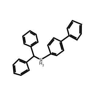 [c]1ccc(-c2ccc([SiH2]C(c3ccccc3)c3ccccc3)cc2)cc1